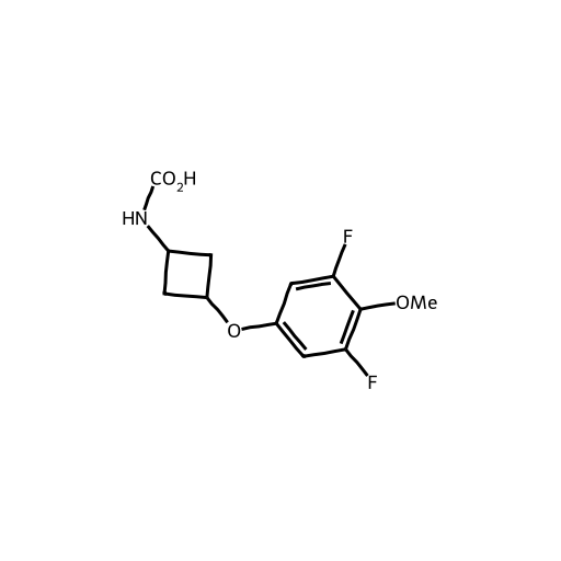 COc1c(F)cc(OC2CC(NC(=O)O)C2)cc1F